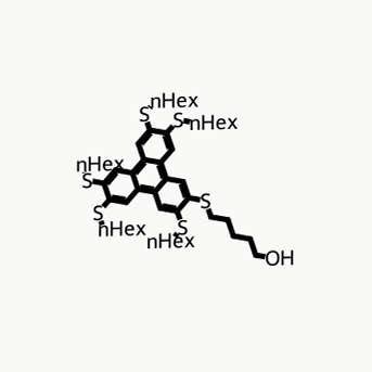 CCCCCCSc1cc2c3cc(SCCCCCC)c(SCCCCCC)cc3c3cc(SCCCCCO)c(SCCCCCC)cc3c2cc1SCCCCCC